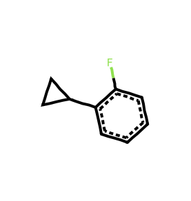 Fc1ccccc1[C]1CC1